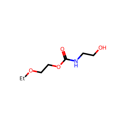 [CH2]COCCOC(=O)NCCO